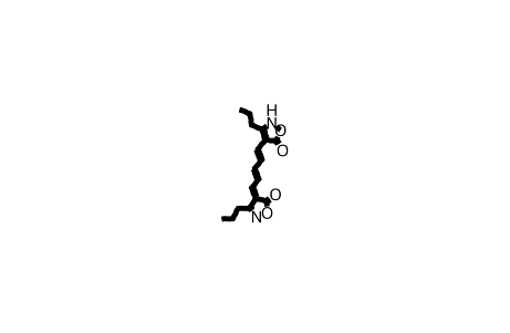 CCCC1=NOC(=O)C1=CC=CC=Cc1c(CCC)[nH]oc1=O